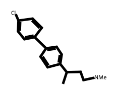 CNCCC(C)c1ccc(-c2ccc(Cl)cc2)cc1